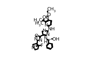 CCOB1OC(C)(C)c2nc(Nc3ncc(-c4nc(C5CN6CCC5(F)CC6)no4)c(N[C@H](CO)c4ccccc4)n3)ccc21